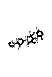 Cc1ccc(F)cc1-n1ncc(C(=O)Nc2cnc(-n3nccn3)c(Cl)c2)c1C(F)(F)F